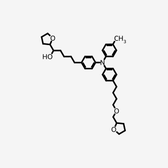 Cc1ccc(N(c2ccc(CCCCOCC3CCCO3)cc2)c2ccc(CCCCC(O)C3CCCO3)cc2)cc1